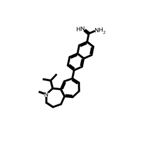 CC(C)C1C2=CC(c3ccc4cc(C(=N)N)ccc4c3)=CCC=C2CCCN1C